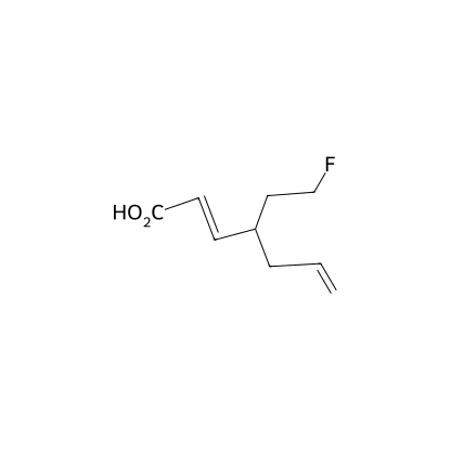 C=CCC(C=CC(=O)O)CCF